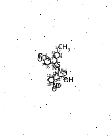 CCc1ccc(-c2sc(NN3Cc4cccc([N+](=O)[O-])c4CC3C(=O)O)nc2-c2ccc(OC)cc2)cc1